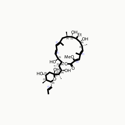 C/C=C/[C@H]1O[C@@](O)([C@@H](C)[C@H](O)[C@H](C)[C@H]2OC(=O)/C(OC)=C/C(C)=C/[C@@H](C)[C@@H](O)C(CC)[C@@H](O)[C@H](C)C/C(C)=C/C=C/[C@@H]2O)C[C@@H](O)[C@@H]1C